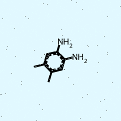 Cc1[c]c(N)c(N)[c]c1C